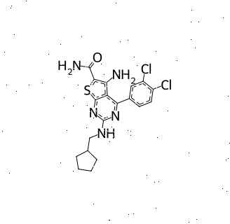 NC(=O)c1sc2nc(NCC3CCCC3)nc(-c3ccc(Cl)c(Cl)c3)c2c1N